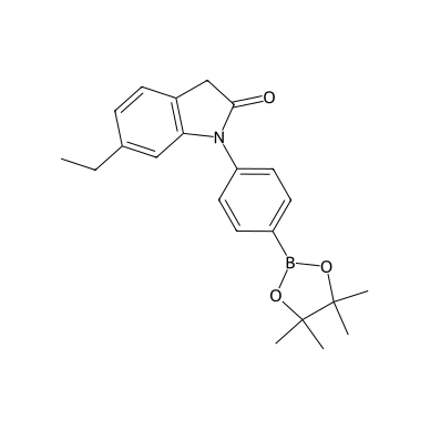 CCc1ccc2c(c1)N(c1ccc(B3OC(C)(C)C(C)(C)O3)cc1)C(=O)C2